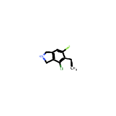 CCc1c(F)cc2c(c1Cl)CNC2